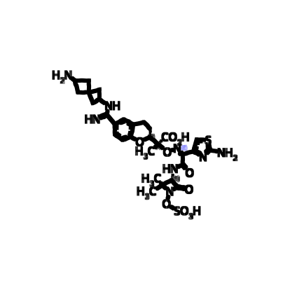 CC1(C)[C@H](NC(=O)/C(=N\O[C@](C)(C(=O)O)[C@H]2CCc3cc(C(=N)NC4CC5(CC(N)C5)C4)ccc3O2)c2csc(N)n2)C(=O)N1OS(=O)(=O)O